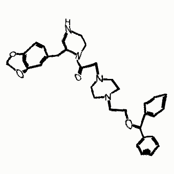 O=C(CN1CCN(CCOC(c2ccccc2)c2ccccc2)CC1)N1CCNCC1Cc1ccc2c(c1)OCO2